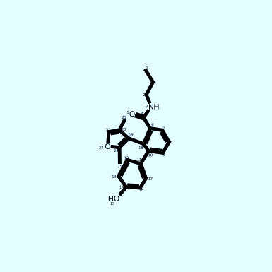 CCCNC(=O)c1cccc(-c2ccc(O)cc2)c1-c1c(C)coc1C